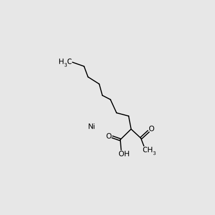 CCCCCCCCC(C(C)=O)C(=O)O.[Ni]